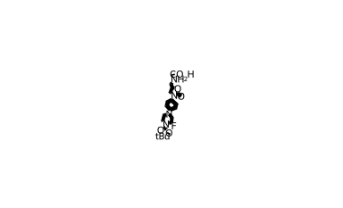 CC(C)(C)OC(=O)N1CCN(c2ccc(N3CC(CNC(=O)O)OC3=O)cc2)CC1F